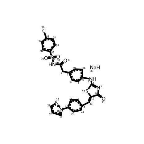 O=C(Cc1ccc(NC2=NC(=O)C(=Cc3ccc(-n4cccn4)cc3)S2)cc1)NS(=O)(=O)c1ccc(Cl)cc1.[NaH]